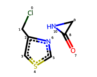 ClCc1cscn1.O=C1CN1